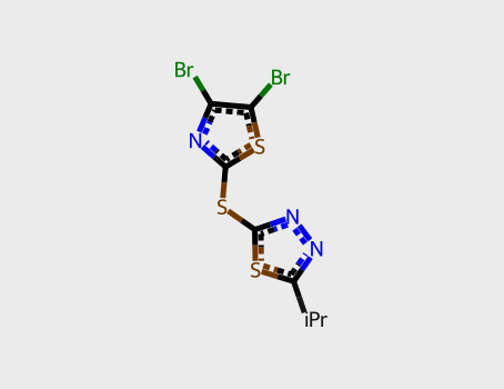 CC(C)c1nnc(Sc2nc(Br)c(Br)s2)s1